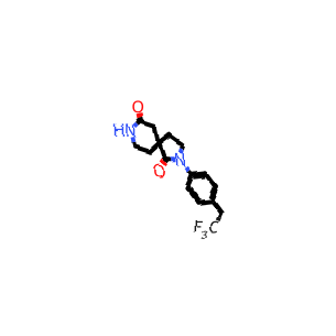 O=C1CC2(CCN1)CCN(c1ccc(CC(F)(F)F)cc1)C2=O